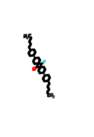 CCCCC[C@H]1CC[C@H](C2CCC3(CC2)C(=O)C2(CCC([C@H]4CC[C@H](CCCCC)CC4)CC2)C3F)CC1